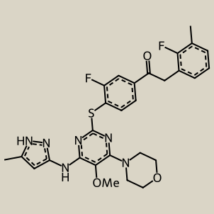 COc1c(Nc2cc(C)[nH]n2)nc(Sc2ccc(C(=O)Cc3cccc(C)c3F)cc2F)nc1N1CCOCC1